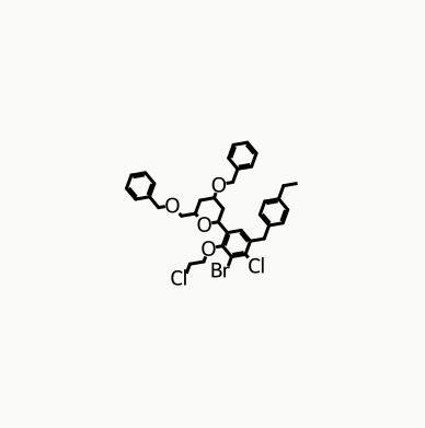 CCc1ccc(Cc2cc(C3CC(OCc4ccccc4)CC(COCc4ccccc4)O3)c(OCCCl)c(Br)c2Cl)cc1